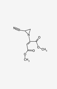 COC(=O)C=C(C(=O)OC)N1CC1C#N